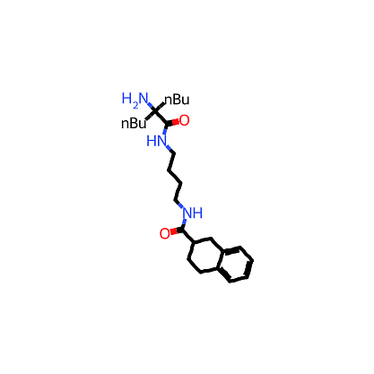 CCCCC(N)(CCCC)C(=O)NCCCCNC(=O)C1CCc2ccccc2C1